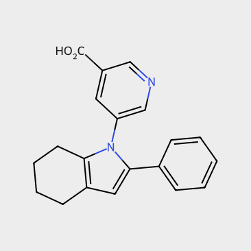 O=C(O)c1cncc(-n2c(-c3ccccc3)cc3c2CCCC3)c1